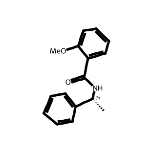 COc1ccccc1C(=O)N[C@H](C)c1ccccc1